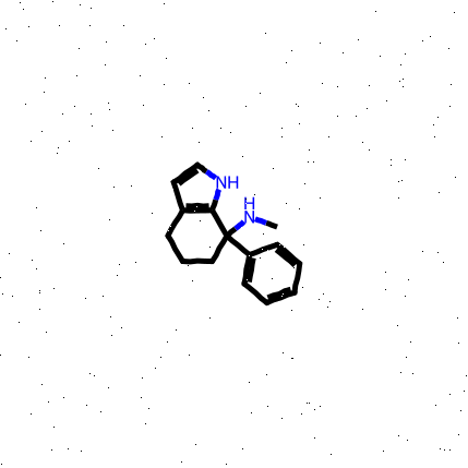 CNC1(c2ccccc2)CCCc2cc[nH]c21